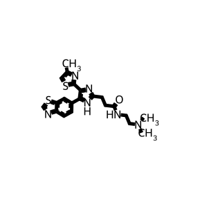 Cc1csc(-c2nc(CCC(=O)NCCN(C)C)[nH]c2-c2ccc3ncsc3c2)n1